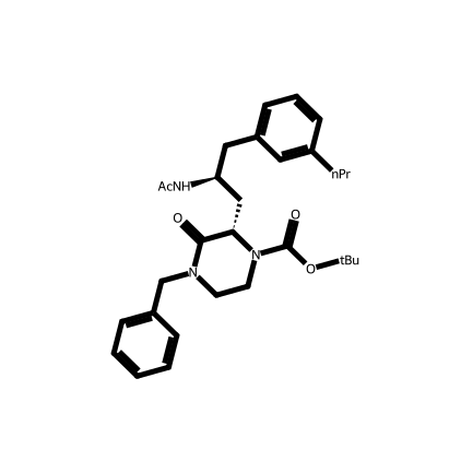 CCCc1cccc(C[C@@H](C[C@H]2C(=O)N(Cc3ccccc3)CCN2C(=O)OC(C)(C)C)NC(C)=O)c1